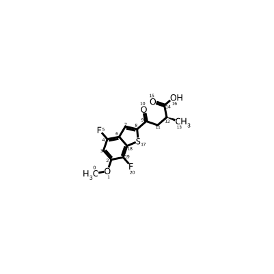 COc1cc(F)c2cc(C(=O)C[C@H](C)C(=O)O)sc2c1F